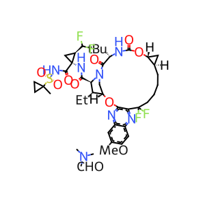 CC[C@@H]1[C@@H]2CN(C(=O)[C@H](C(C)(C)C)NC(=O)O[C@@H]3C[C@H]3CCCCC(F)(F)c3nc4ccc(OC)cc4nc3O2)[C@@H]1C(=O)N[C@]1(C(=O)NS(=O)(=O)C2(C)CC2)C[C@H]1C(F)F.CN(C)C=O